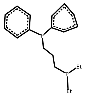 CCP(CC)CCCP(c1ccccc1)c1ccccc1